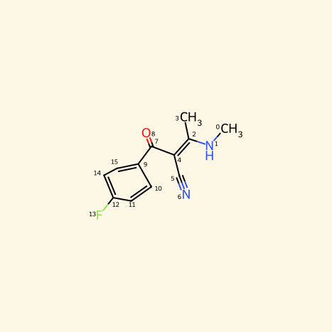 CN/C(C)=C(\C#N)C(=O)c1ccc(F)cc1